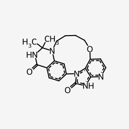 CC1(C)NC(=O)c2ccc3cc2N1CCCCOc1ccnc2[nH]c(=O)n-3c12